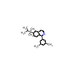 Cc1cc(C)cc(-c2nccc3cc([Si](C)(C)C(C)C)ccc23)c1